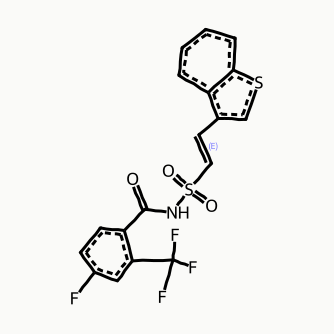 O=C(NS(=O)(=O)/C=C/c1csc2ccccc12)c1ccc(F)cc1C(F)(F)F